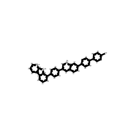 Ic1ccc(-c2ccc(-c3ccc4cc(-c5ccc(-c6cccc7c6sc6ncccc67)cc5)cnc4c3)cc2)cc1